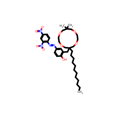 CCCCCCCCCCCCC1(Cc2cc(/N=N/c3ccc([N+](=O)[O-])cc3[N+](=O)[O-])ccc2O)COCCOCC(C)(C)COCCOC1